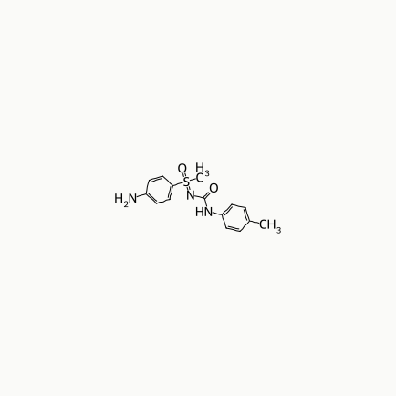 Cc1ccc(NC(=O)N=S(C)(=O)c2ccc(N)cc2)cc1